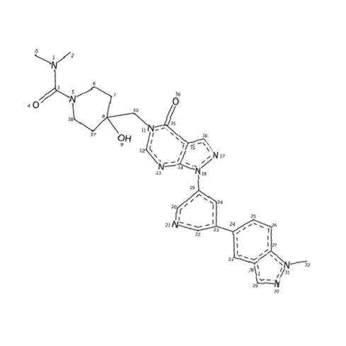 CN(C)C(=O)N1CCC(O)(Cn2cnc3c(cnn3-c3cncc(-c4ccc5c(cnn5C)c4)c3)c2=O)CC1